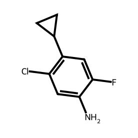 Nc1cc(Cl)c(C2CC2)cc1F